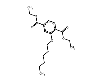 CCCCCCOc1cc(C(=O)OCC)ccc1C(=O)OCC